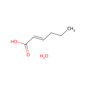 CCCC=CC(=O)O.O